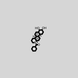 C[C@]12CC[C@@]3(F)[C@@H](CCC4[C@@H](O)[C@@H](O)CC[C@@]43C)[C@@H]1CCCN2C(=O)C1CCCCC1